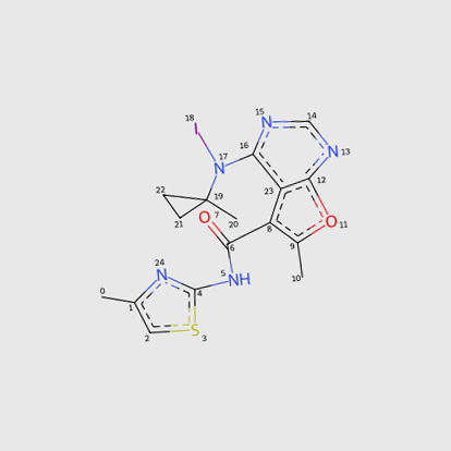 Cc1csc(NC(=O)c2c(C)oc3ncnc(N(I)C4(C)CC4)c23)n1